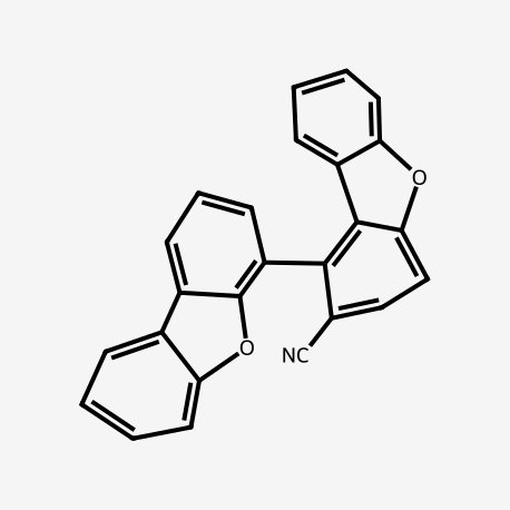 N#Cc1ccc2oc3ccccc3c2c1-c1cccc2c1oc1ccccc12